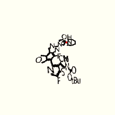 CN1CC2CCC(C1)N2C1CN(c2ncc3c4c(c(-c5ncc(F)c6sc(NC(=O)OC(C)(C)C)c(C#N)c56)c(F)c3n2)COC4)CC1O